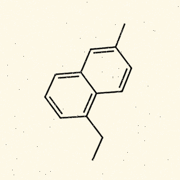 CCc1cccc2cc(C)ccc12